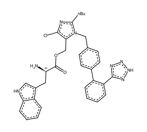 CCCCc1nc(Cl)c(COC(=O)[C@H](N)Cc2c[nH]c3ccccc23)n1Cc1ccc(-c2ccccc2-c2nn[nH]n2)cc1